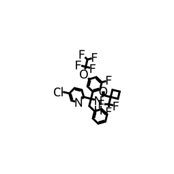 O=C(NC(Cc1ccccc1)(c1cc(F)cc(OC(F)(F)C(F)F)c1)c1ccc(Cl)cn1)C1(C(F)(F)F)CCC1